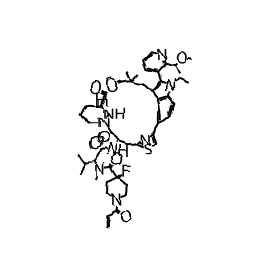 C=CC(=O)N1CCC(F)(C(=O)N(C)[C@H](C(=O)N[C@H]2Cc3nc(cs3)-c3ccc4c(c3)c(c(-c3cccnc3[C@H](C)OC)n4CC)CC(C)(C)COC(=O)[C@@H]3CCCN(N3)C2=O)C(C)C)CC1